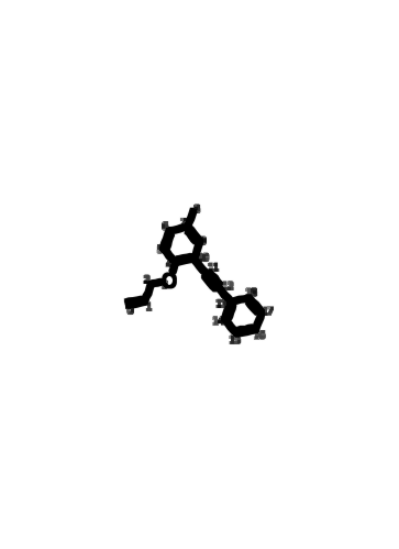 C=CCOc1ccc(C)cc1C#Cc1ccccc1